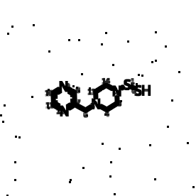 SSN1CCN(Cc2cnccn2)CC1